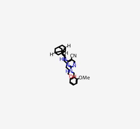 COc1ccccc1CNc1ncc(C#N)c(NC[C@]23CC4C[C@H](C2)[C@@H](C/C=C/CCCCO)[C@@H](C4)C3)n1